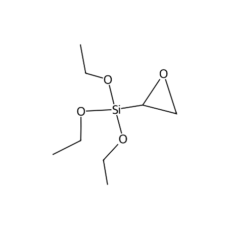 CCO[Si](OCC)(OCC)C1CO1